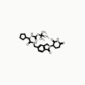 CC(C)(C)OC(=O)N[C@H](C(=O)NCc1ccc2c(c1)CN(C1CCC(=O)NC1=O)C2=O)C1CCCC1